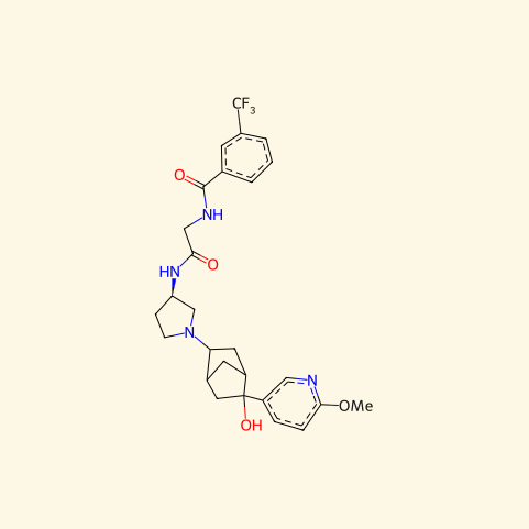 COc1ccc(C2(O)CC3CC2CC3N2CC[C@@H](NC(=O)CNC(=O)c3cccc(C(F)(F)F)c3)C2)cn1